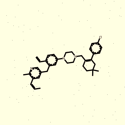 C=Cc1ccc(N2CCN(CC3=C(c4ccc(Cl)cc4)CC(C)(C)CC3)CC2)cc1Cc1cnc(C)c(/C=C\C)c1